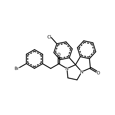 O=C(Cc1cccc(Br)c1)N1CCN2C(=O)c3ccccc3C12c1ccc(Cl)cc1